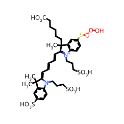 CC1(CCCCCC(=O)O)C(/C=C/C=C/C=C2\N(CCCS(=O)(=O)O)c3ccc(S(=O)(=O)O)cc3C2(C)C)=[N+](CCCS(=O)(=O)O)c2ccc(SOOO)cc21